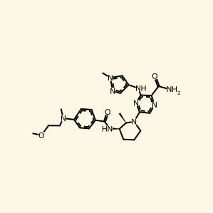 COCCN(C)c1ccc(C(=O)N[C@@H]2CCCN(c3cnc(C(N)=O)c(Nc4cnn(C)c4)n3)[C@@H]2C)cc1